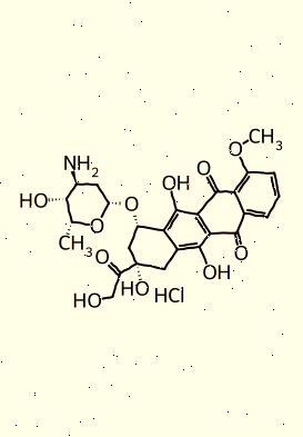 COc1cccc2c1C(=O)c1c(O)c3c(c(O)c1C2=O)C[C@@](O)(C(=O)CO)C[C@@H]3O[C@H]1C[C@H](N)[C@@H](O)[C@@H](C)O1.Cl